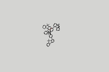 CC1(C)C2=C(CCC=C2)c2c(-c3ccccc3N(c3ccc(-c4cccc5c4C(C)(C)c4ccccc4-5)cc3)c3ccc(-c4cccc5sc6ccccc6c45)cc3)cccc21